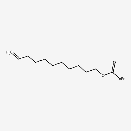 C=CCCCCCCCCCOC(=O)CCC